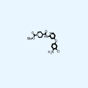 CC(C)(C)OC(=O)N1CCC(C(=O)Nc2cc(Oc3ccc(N)c(Cl)c3)ccn2)CC1